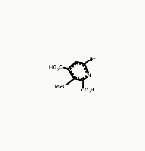 COc1c(C(=O)O)cc(C(C)C)nc1C(=O)O